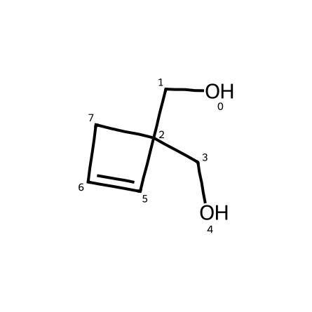 OCC1(CO)C=CC1